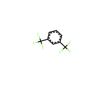 FC(F)(F)c1[c]c[c]c(C(F)(F)F)c1